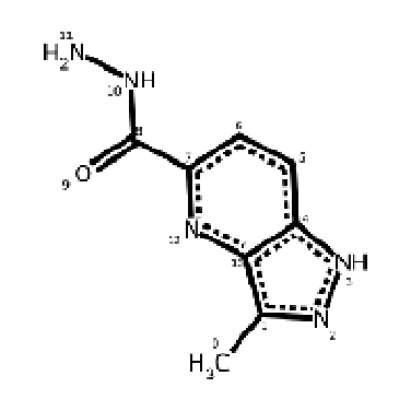 Cc1n[nH]c2ccc(C(=O)NN)nc12